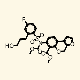 COC(=O)c1c(N(C(=O)OC)S(=O)(=O)c2ccc(F)cc2C=CCO)ccc2c1OCc1occc1-2